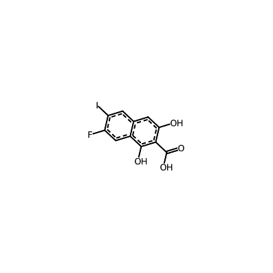 O=C(O)c1c(O)cc2cc(I)c(F)cc2c1O